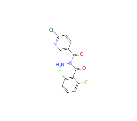 NN(C(=O)c1ccc(Cl)nc1)C(=O)c1c(F)cccc1F